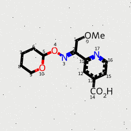 COC/C(=N\OC1CCCCO1)c1cc(C(=O)O)ccn1